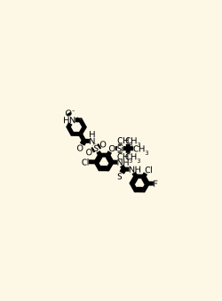 CC(C)(C)[Si](C)(C)Oc1c(NC(=S)Nc2cccc(F)c2Cl)ccc(Cl)c1S(=O)(=O)NC(=O)C1CC[NH+]([O-])CC1